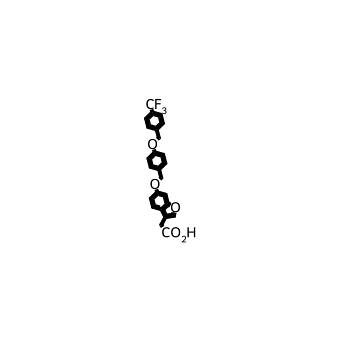 O=C(O)Cc1coc2cc(OCc3ccc(OCc4ccc(C(F)(F)F)cc4)cc3)ccc12